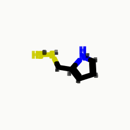 SSCc1ccc[nH]1